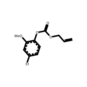 C=CCOC(=O)Oc1ccc(CC)cc1OC